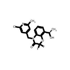 Cc1cc(CN2C(=O)C(F)(F)Oc3c([C@@H](C)O)cccc32)cc(Cl)n1